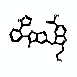 CCCc1nc2ccc(C(=O)O)nc2n1Cc1ccc2oc(-c3ccccc3-c3nnn[nH]3)c(Br)c2c1